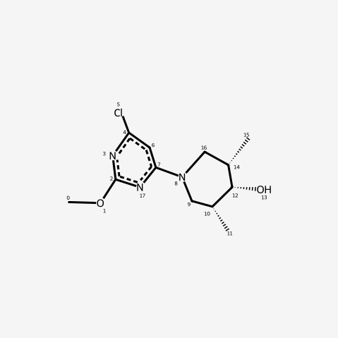 COc1nc(Cl)cc(N2C[C@@H](C)[C@@H](O)[C@@H](C)C2)n1